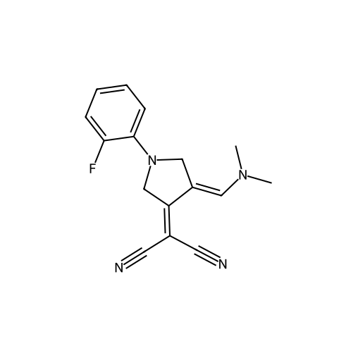 CN(C)C=C1CN(c2ccccc2F)CC1=C(C#N)C#N